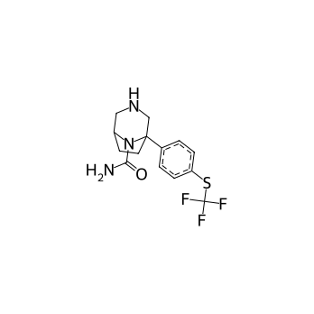 NC(=O)N1C2CCC1(c1ccc(SC(F)(F)F)cc1)CNC2